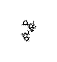 Fc1cncc(-c2nc(NCCC3=CNCc4ccccc43)c3nc[nH]c3n2)c1